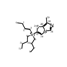 CCC[CH2][Sn]([CH2]CCC)([CH2]CCC)[c]1cn2cnc(C)c2s1